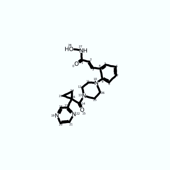 O=C(C=Cc1ccccc1N1CCN(C(=O)C2(c3cnccn3)CC2)CC1)NO